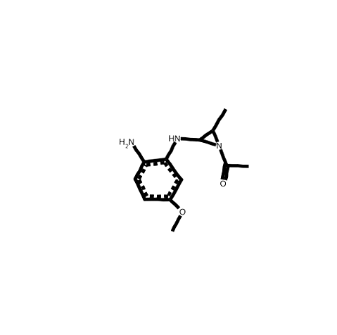 COc1ccc(N)c(NC2C(C)N2C(C)=O)c1